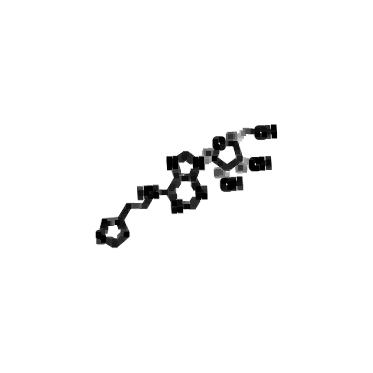 OC[C@H]1O[C@@H](n2cnc3c(NCCc4ccsc4)ncnc32)[C@@H](O)[C@H]1O